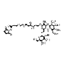 O=C(CCOCCOCCC(=O)ON1C(=O)CCC1=O)NCCO[C@@H]1O[C@H](CO[C@H]2O[C@H](CO)[C@@H](O)[C@H](O)[C@@H]2O)[C@@H](O)[C@H](O[C@H]2O[C@H](CO)[C@@H](O)[C@H](O)[C@@H]2O)[C@@H]1O